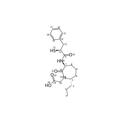 CCC[C@H]1CCC[C@H](NC(=O)[C@@H](S)Cc2ccccc2)C(=O)N1CC(=O)O